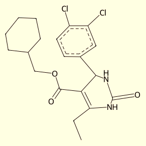 CCC1=C(C(=O)OCC2CCCCC2)C(c2ccc(Cl)c(Cl)c2)NC(=O)N1